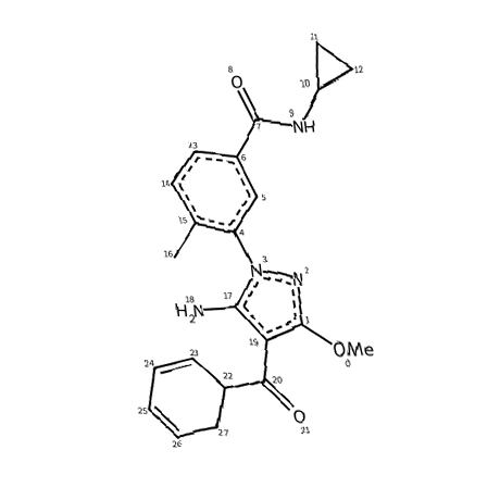 COc1nn(-c2cc(C(=O)NC3CC3)ccc2C)c(N)c1C(=O)C1C=CC=CC1